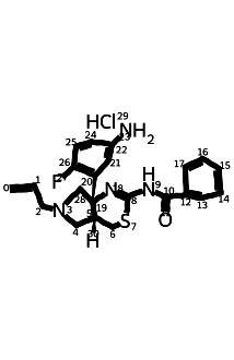 C=CCN1C[C@H]2CSC(NC(=O)c3ccccc3)=N[C@@]2(c2cc(N)ccc2F)C1.Cl